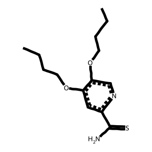 CCCCOc1cnc(C(N)=S)cc1OCCCC